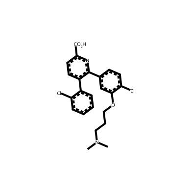 CN(C)CCCOc1cc(-c2nc(C(=O)O)ccc2-c2ccccc2Cl)ccc1Cl